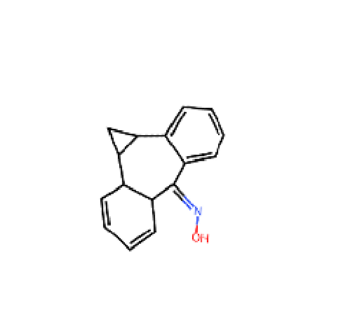 ON=C1c2ccccc2C2CC2C2C=CC=CC12